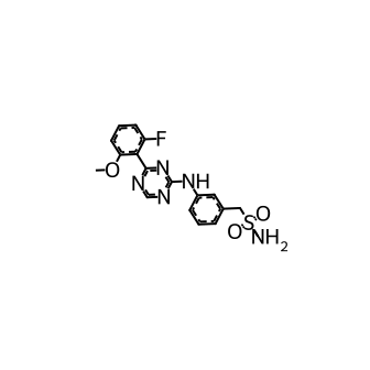 COc1cccc(F)c1-c1ncnc(Nc2cccc(CS(N)(=O)=O)c2)n1